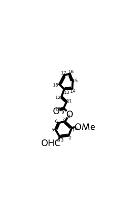 COc1cc(C=O)ccc1OC(=O)C=Cc1ccccc1